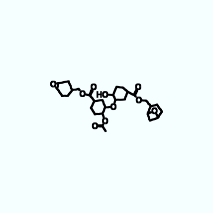 CC(=O)OC1CCC(C(=O)OCC2CCC3OC3C2)CC1OC1CC(C(=O)OCC2CCC3CC2O3)CCC1O